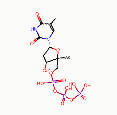 CC(=O)[C@]1(COP(=O)(O)OP(=O)(O)OP(=O)(O)O)O[C@@H](n2cc(C)c(=O)[nH]c2=O)C[C@@H]1O